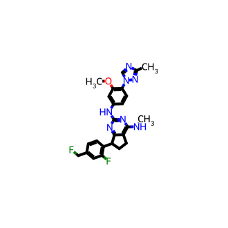 CNc1nc(Nc2ccc(-n3cnc(C)n3)c(OC)c2)nc2c1CCC2c1ccc(CF)cc1F